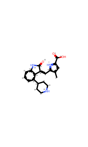 Cc1cc(C(=O)O)[nH]c1C=C1C(=O)Nc2cccc(C3CCNCC3)c21